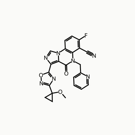 COC1(c2noc(-c3ncn4c3c(=O)n(Cc3ccccn3)c3c(C#N)c(F)ccc34)n2)CC1